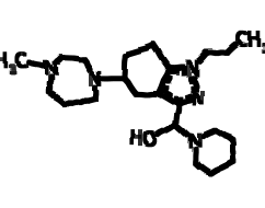 CCCn1nc(C(O)N2CCCCC2)c2c1CCC(N1CCCN(C)CC1)C2